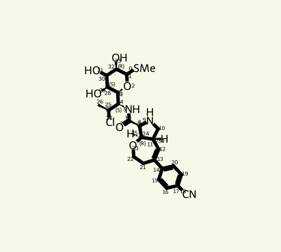 CSC1O[C@H]([C@H](NC(=O)[C@H]2NC[C@@H]3C=C(c4ccc(C#N)cc4)CCO[C@@H]23)[C@H](C)Cl)[C@@H](O)C(O)[C@H]1O